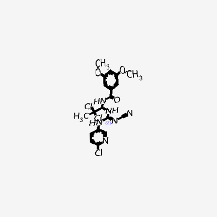 COc1cc(OC)cc(C(=O)NC(N/C(=N\C#N)Nc2ccc(Cl)nc2)C(C)(Cl)Cl)c1